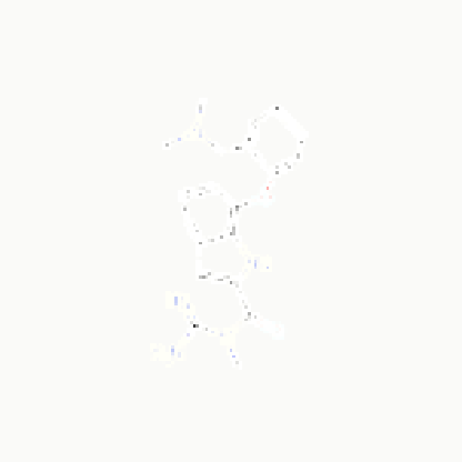 CN(C)Cc1ccccc1Oc1cccc2cc(C(=O)N(C)C(=N)N)[nH]c12